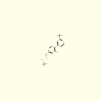 Cc1cc([C@H](C)N[S+]([O-])C(C)(C)C)ncc1-c1ccnc(C(F)(F)F)c1